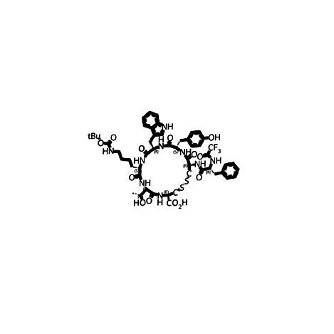 C[C@@H](O)[C@@H]1NC(=O)[C@H](CCCCNC(=O)OC(C)(C)C)NC(=O)[C@@H](Cc2c[nH]c3ccccc23)NC(=O)[C@H](Cc2ccc(O)cc2)NC(=O)[C@@H](NC(=O)[C@@H](Cc2ccccc2)NC(=O)C(F)(F)F)CSSC[C@@H](C(=O)O)NC1=O